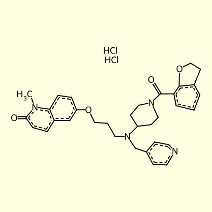 Cl.Cl.Cn1c(=O)ccc2cc(OCCCN(Cc3ccncc3)C3CCN(C(=O)c4cccc5c4OCC5)CC3)ccc21